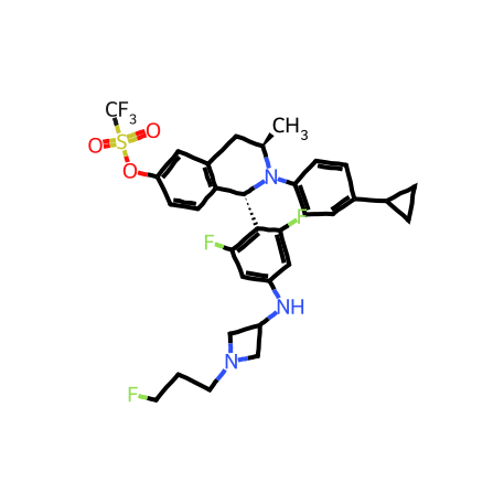 C[C@@H]1Cc2cc(OS(=O)(=O)C(F)(F)F)ccc2[C@@H](c2c(F)cc(NC3CN(CCCF)C3)cc2F)N1c1ccc(C2CC2)cc1